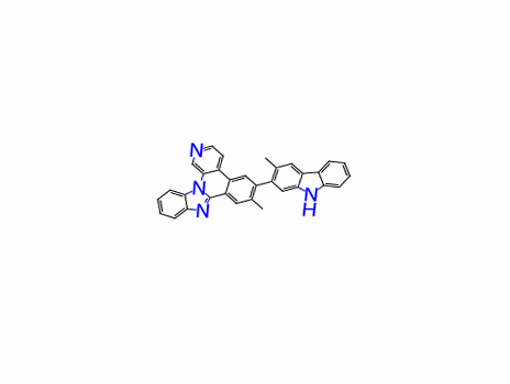 Cc1cc2c(cc1-c1cc3c4ccncc4n4c5ccccc5nc4c3cc1C)[nH]c1ccccc12